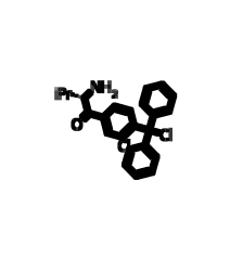 CC(C)[C@H](N)C(=O)c1ccc(C(Cl)(c2ccccc2)c2ccccc2)c(Cl)c1